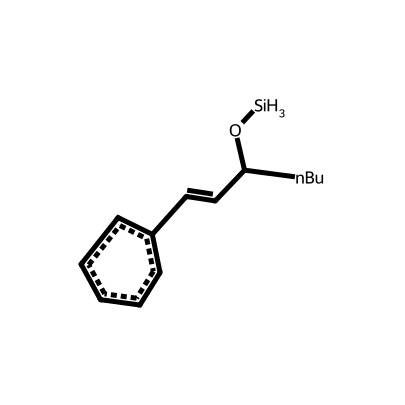 CCCCC(C=Cc1ccccc1)O[SiH3]